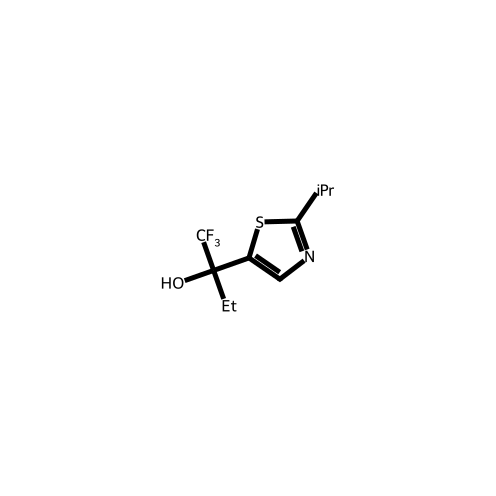 CCC(O)(c1cnc(C(C)C)s1)C(F)(F)F